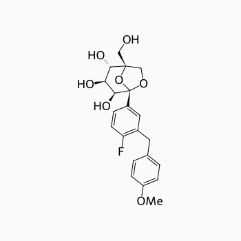 COc1ccc(Cc2cc([C@]34OC[C@](CO)(O3)[C@@H](O)[C@H](O)[C@@H]4O)ccc2F)cc1